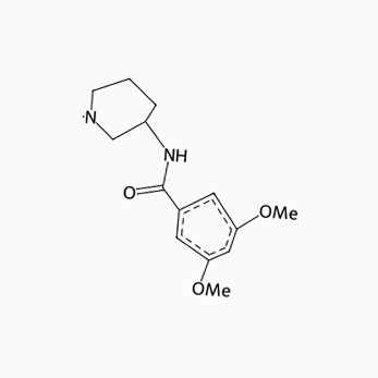 COc1cc(OC)cc(C(=O)NC2CCC[N]C2)c1